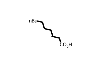 CCCCCCC[CH]CC(=O)O